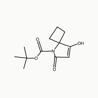 CC(C)(C)OC(=O)N1C(=O)C=C(O)C12CCC2